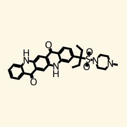 CCC(CC)(c1ccc2c(=O)c3cc4[nH]c5ccccc5c(=O)c4cc3[nH]c2c1)S(=O)(=O)N1CCN(C)CC1